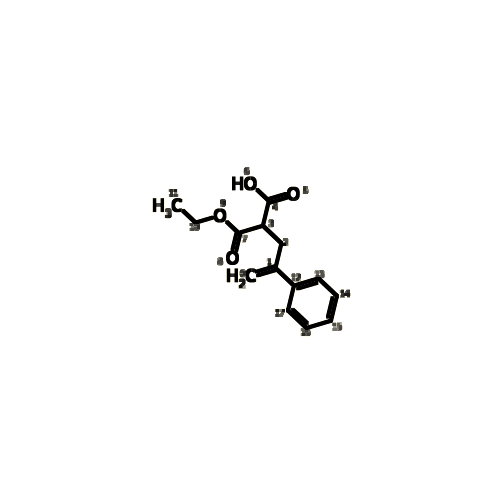 C=C(CC(C(=O)O)C(=O)OCC)c1ccccc1